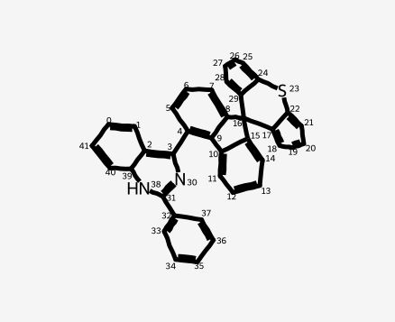 C1=CC2=C(c3cccc4c3-c3ccccc3C43c4ccccc4Sc4ccccc43)N=C(c3ccccc3)NC2C=C1